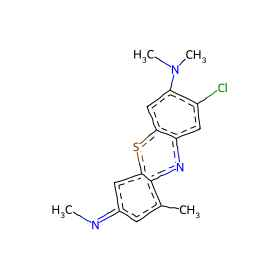 CN=c1cc2sc3cc(N(C)C)c(Cl)cc3nc-2c(C)c1